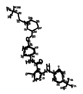 Cc1nsc(Nc2cnc(C(F)(F)F)cn2)c1C(=O)Nc1ccc(OCC2CCCN(CCC(F)(F)F)C2)nc1